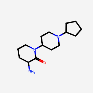 NC1CCCN(C2CCN(C3CCCC3)CC2)C1=O